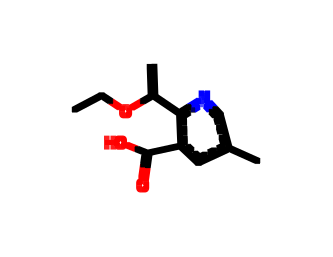 C=C(OCC)c1ncc(C)cc1C(=O)O